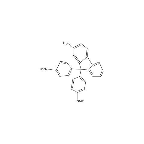 CNc1ccc(C2(c3ccc(NC)cc3)c3ccccc3-c3ccc(C)cc32)cc1